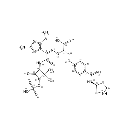 CCc1sc(N)nc1/C(=N/O[C@@H](COc1ccc(C(=N)N[C@H]2CCNC2)cc1)C(=O)O)C(=O)N[C@@H]1C(=O)N(OS(=O)(=O)O)C1(C)C